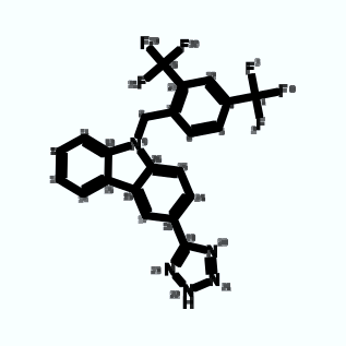 FC(F)(F)c1ccc(Cn2c3ccccc3c3cc(-c4nn[nH]n4)ccc32)c(C(F)(F)F)c1